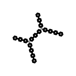 c1ccc(-c2ccc(-c3ccc(-c4ccc(N(c5ccc(-c6ccc(-c7ccccc7)cc6)cc5)c5ccc(-c6ccc(-c7ccc(N(c8ccc(-c9ccc(-c%10ccccc%10)cc9)cc8)c8ccc(-c9ccc(-c%10ccc(-c%11ccccc%11)cc%10)cc9)cc8)cc7)cc6)cc5)cc4)cc3)cc2)cc1